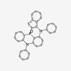 O=P12c3ccccc3N(c3ccccc3)c3cccc(c31)N(c1ccccc1)c1c2sc2ccccc12